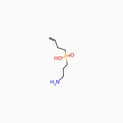 C=CCCP(=O)(O)CCCN